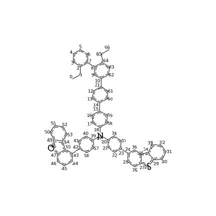 CCc1ccccc1-c1cc(-c2ccc(-c3ccc(N(c4ccc(-c5ccc6sc7ccccc7c6c5)cc4)c4ccc(-c5cccc6oc7ccccc7c56)cc4)cc3)cc2)ccc1CC